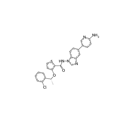 C[C@@H](Oc1ccsc1C(=O)Nn1cnc2cc(-c3ccc(N)nc3)ccc21)c1ccccc1Cl